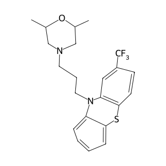 CC1CN(CCCN2c3ccccc3Sc3ccc(C(F)(F)F)cc32)CC(C)O1